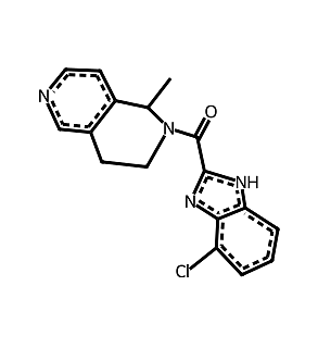 CC1c2ccncc2CCN1C(=O)c1nc2c(Cl)cccc2[nH]1